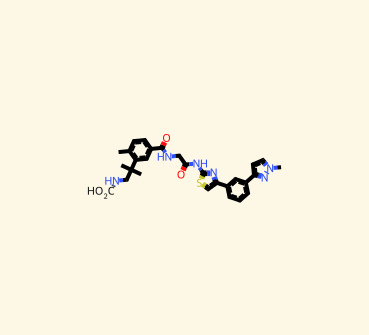 Cc1ccc(C(=O)NCC(=O)Nc2nc(-c3cccc(-c4ccn(C)n4)c3)cs2)cc1C(C)(C)CNC(=O)O